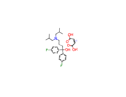 CC(C)CN(CCCC(O)(c1ccc(F)cc1)c1ccc(F)cc1)CC(C)C.O=C(O)/C=C\C(=O)O